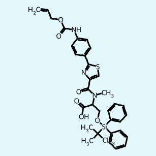 C=CCOC(=O)Nc1ccc(-c2nc(C(=O)N(C)C(CO[Si](c3ccccc3)(c3ccccc3)C(C)(C)C)C(=O)O)cs2)cc1